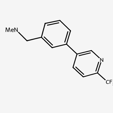 CNCc1cccc(-c2ccc(C(F)(F)F)nc2)c1